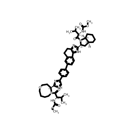 COC(=O)N[C@H](C(=O)N1CCCCOCC[C@H]1c1nc(-c2ccc(-c3ccc4c(c3)CCc3nc([C@@H]5C[C@@H]6CCCC[C@@H]6N5C(=O)[C@@H](NC(=O)OC)C(C)C)[nH]c3-4)cc2)c[nH]1)C(C)C